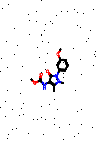 COC(=O)Nc1c(C)n(C)n(-c2cccc(OC)c2)c1=O